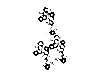 Cc1cccc(C)c1OCC(=O)N[C@@H](Cc1ccccc1)[C@@H](O)C[C@H](Cc1ccccc1)NC(=O)[C@H](C(C)C)N1CCCNC1=O.Cc1cccc(C)c1OCC(=O)N[C@@H](Cc1ccccc1)[C@@H](O)C[C@H](Cc1ccccc1)NC(=O)[C@H](C(C)C)N1CCCNC1=O.Cc1cccc(C)c1OCC(=O)N[C@@H](Cc1ccccc1)[C@@H](O)C[C@H](Cc1ccccc1)NC(=O)[C@H](C(C)C)N1CCCNC1=O